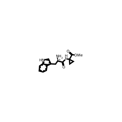 COC(=O)C1(NC(=O)[C@H](N)Cc2c[nH]c3ccccc23)CC1